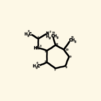 CC(N)NC1C(C)CCCC(C)C1C